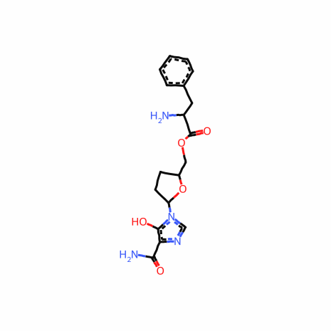 NC(=O)c1ncn(C2CCC(COC(=O)C(N)Cc3ccccc3)O2)c1O